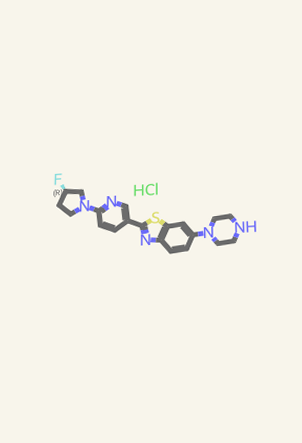 Cl.F[C@@H]1CCN(c2ccc(-c3nc4ccc(N5CCNCC5)cc4s3)cn2)C1